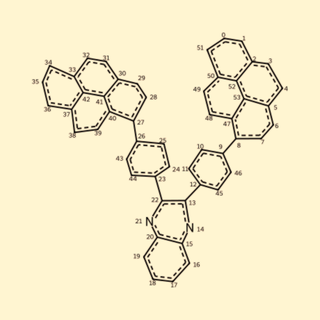 c1cc2ccc3ccc(-c4ccc(-c5nc6ccccc6nc5-c5ccc(-c6ccc7ccc8cccc9ccc6c7c89)cc5)cc4)c4ccc(c1)c2c34